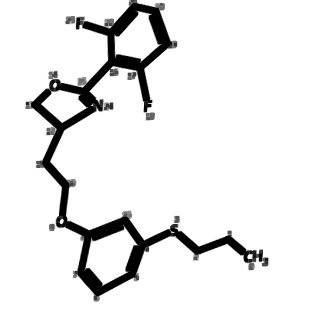 CCCSc1cccc(OCCC2COC(c3c(F)cccc3F)=N2)c1